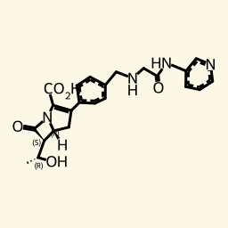 C[C@@H](O)[C@H]1C(=O)N2C(C(=O)O)=C(c3ccc(CNCC(=O)Nc4cccnc4)cc3)C[C@H]12